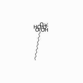 CCCCCCCCCCCCCCCC(=O)C(O)(O)C(=O)OC(C)(C)C